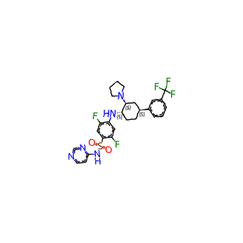 O=S(=O)(Nc1ccncn1)c1cc(F)c(N[C@H]2CC[C@H](c3cccc(C(F)(F)F)c3)C[C@@H]2N2CCCC2)cc1F